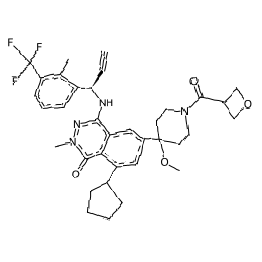 C#C[C@@H](Nc1nn(C)c(=O)c2c(C3CCCC3)cc(C3(OC)CCN(C(=O)C4COC4)CC3)cc12)c1cccc(C(F)(F)F)c1C